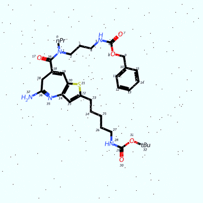 CCCN(CCCNC(=O)OCc1ccccc1)C(=O)C1=Cc2sc(CCCCCNC(=O)OC(C)(C)C)cc2N=C(N)C1